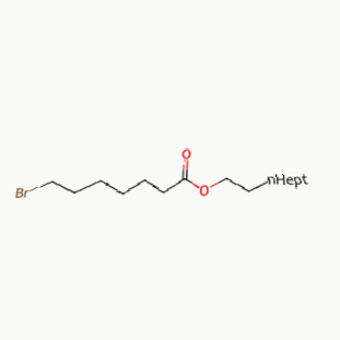 CCCCCCCCCOC(=O)CCCCCCBr